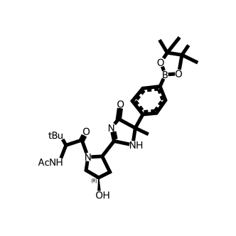 CC(=O)NC(C(=O)N1C[C@H](O)CC1C1=NC(=O)C(C)(c2ccc(B3OC(C)(C)C(C)(C)O3)cc2)N1)C(C)(C)C